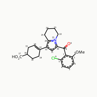 COc1cccc(Cl)c1C(=O)c1cc(C2=CCC(C(=O)O)CC2)c2n1CCCC2